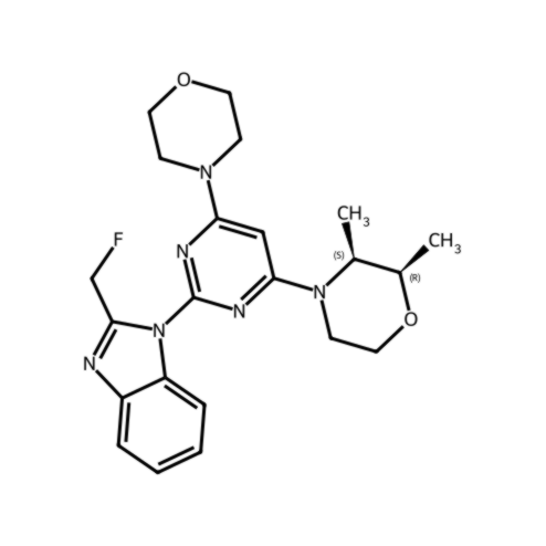 C[C@H]1OCCN(c2cc(N3CCOCC3)nc(-n3c(CF)nc4ccccc43)n2)[C@H]1C